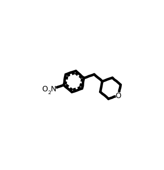 O=[N+]([O-])c1ccc(CC2CCOCC2)cc1